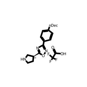 CCCCCCCCCCc1ccc(-c2noc([C@H]3CCNC3)n2)cc1.O=C(O)C(F)(F)F